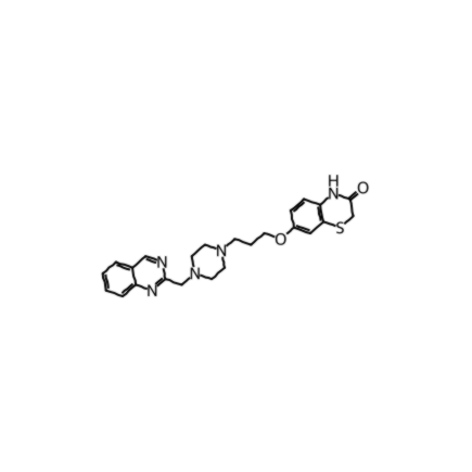 O=C1CSc2cc(OCCCN3CCN(Cc4ncc5ccccc5n4)CC3)ccc2N1